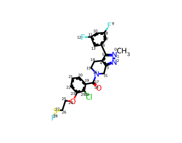 Cn1nc2c(c1-c1cc(F)cc(F)c1)CCN(C(=O)c1cccc(OCCSF)c1Cl)C2